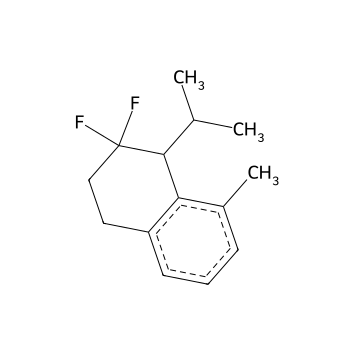 Cc1cccc2c1C(C(C)C)C(F)(F)CC2